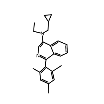 CCN(CC1CC1)c1cnc(-c2c(C)cc(C)cc2C)c2ccccc12